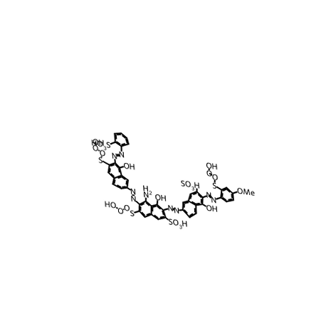 COc1ccc(N=Nc2c(S(=O)(=O)O)cc3cc(N=Nc4c(S(=O)(=O)O)cc5cc(SOOO)c(N=Nc6ccc7cc(SOOO)c(N=Nc8ccccc8S(=O)(=O)O)c(O)c7c6)c(N)c5c4O)ccc3c2O)c(SOOO)c1